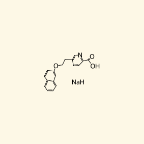 O=C(O)c1ccc(CCOc2ccc3ccccc3c2)cn1.[NaH]